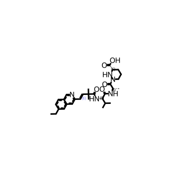 CCc1ccc2cnc(/C=C/C(C)(C)C(=O)N[C@H](C(=O)N[C@@H](C)C(=O)N3CCC[C@@H](C(=O)O)N3)C(C)C)cc2c1